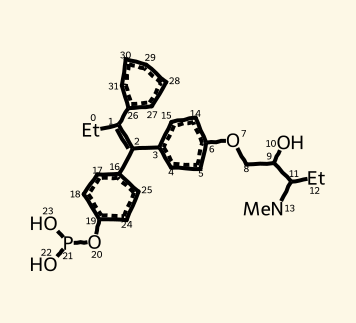 CCC(=C(c1ccc(OCC(O)C(CC)NC)cc1)c1ccc(OP(O)O)cc1)c1ccccc1